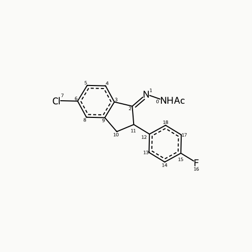 CC(=O)NN=C1c2ccc(Cl)cc2CC1c1ccc(F)cc1